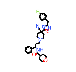 N#CC1(c2nc(Cc3ccc(F)cc3)no2)CCN(CCC(NC(=O)C2CCOCC2)c2ccccc2)CC1